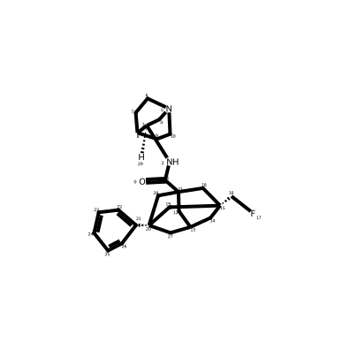 O=C(N[C@@H]1CN2CCC1CC2)C12CC3C[C@](CF)(C1)C[C@@](c1ccccc1)(C3)C2